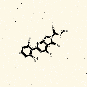 CC(C)(C)OC(=O)N1Cc2nc(-c3c(F)cccc3C#N)cc(Br)c2C1=O